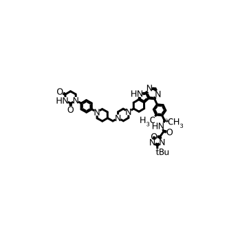 Cc1cc(-c2ncnc3[nH]c4c(c23)CCC(N2CCN(CC3CCN(c5ccc(N6CCC(=O)NC6=O)cc5)CC3)CC2)C4)ccc1[C@@H](C)NC(=O)c1nc(C(C)(C)C)no1